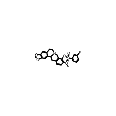 COc1ccc2c(c1OS(=O)(=O)c1cccc(F)c1)CN1CCc3cc4c(cc3C1C2)OCO4